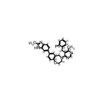 Cc1nc2ccc(-c3ccc4c(c3)CN(c3ncnc(C)c3Cc3ccccc3F)CCO4)cc2[nH]1